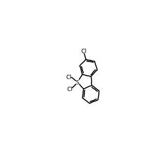 Clc1ccc2c(c1)S(Cl)(Cl)c1ccccc1-2